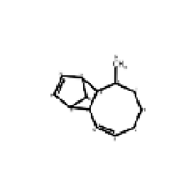 CC1CCCC=CC2C3C=CC(C3)C12